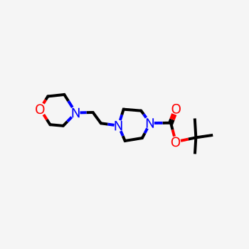 CC(C)(C)OC(=O)N1CCN(CCN2CCOCC2)CC1